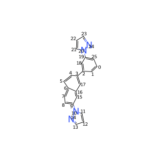 c1cc(-c2ccc3ccc(-n4cccn4)cc3c2)cc(-n2cccn2)c1